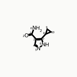 NC(=O)c1cn[nH]c1C1CC1